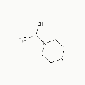 CC(C#N)N1CCNCC1